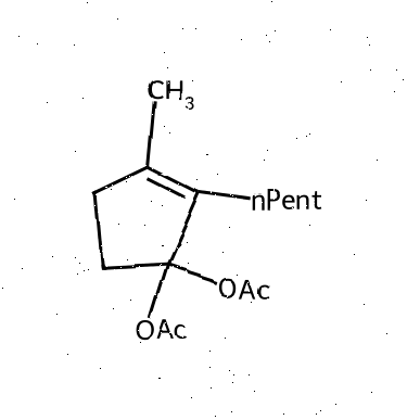 CCCCCC1=C(C)CCC1(OC(C)=O)OC(C)=O